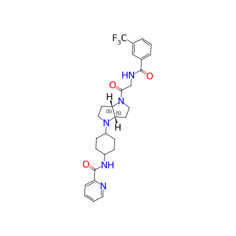 O=C(NCC(=O)N1CC[C@H]2[C@@H]1CCN2C1CCC(NC(=O)c2ccccn2)CC1)c1cccc(C(F)(F)F)c1